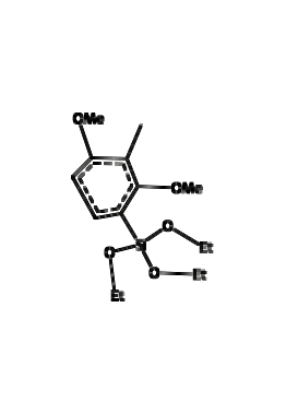 CCO[Si](OCC)(OCC)c1ccc(OC)c(C)c1OC